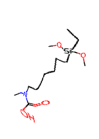 CC[Si](CCCCCCN(C)C(=O)O)(OC)OC